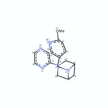 COc1ccc(CN2C3CC2CN(c2cnccn2)C3)cn1